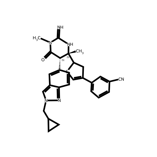 CN1C(=N)N[C@](C)(C2CC(c3cccc(C#N)c3)=CS2)[C@H](c2ccc3nn(CC4CC4)cc3c2)C1=O